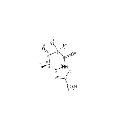 C=C(C)C(=O)O.CCC1(CC)C(=O)NC[C@@H](C)C1=O